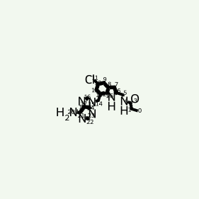 CCC(=O)NCc1cc2cc(Cl)cc(Cn3cnc4c(N)ncnc43)c2[nH]1